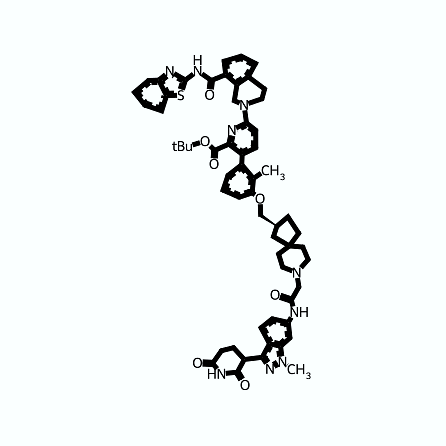 Cc1c(OC[C@H]2CCC3(CCN(CC(=O)Nc4ccc5c(C6CCC(=O)NC6=O)nn(C)c5c4)CC3)C2)cccc1-c1ccc(N2CCc3cccc(C(=O)Nc4nc5ccccc5s4)c3C2)nc1C(=O)OC(C)(C)C